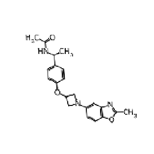 CC(=O)N[C@@H](C)c1ccc(OC2CN(c3ccc4oc(C)nc4c3)C2)cc1